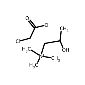 CC(O)C[N+](C)(C)C.O=C([O-])CCl